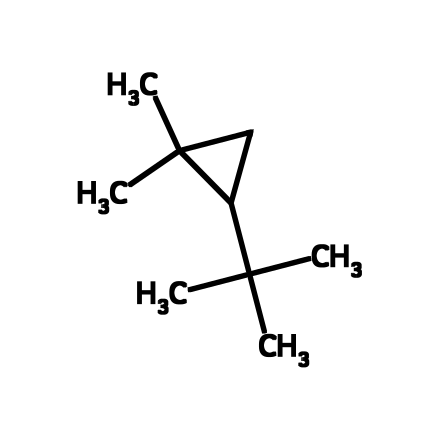 CC(C)(C)C1CC1(C)C